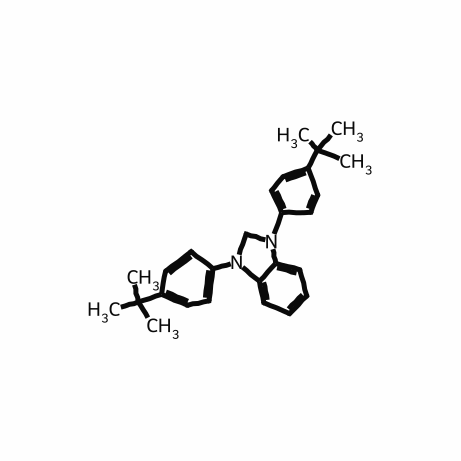 CC(C)(C)c1ccc(N2CN(c3ccc(C(C)(C)C)cc3)c3ccccc32)cc1